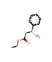 CCOC(=O)C[C@@H](N)c1ccccc1